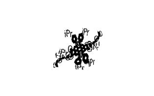 CC(C)c1ccc(Oc2cc3c4c(cc(Oc5ccc(C(C)C)cc5)c5c6c(Oc7ccc(C(C)C)cc7)cc7c8c(cc(Oc9ccc(C(C)C)cc9)c(c2c45)c86)C(=O)N(C(C(=O)NCCOCC2CO2)C(C)C)C7=O)C(=O)N(C(C(=O)NCCOCC2CO2)C(C)C)C3=O)cc1